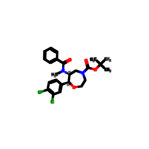 CN(C(=O)c1ccccc1)[C@@H]1CN(C(=O)OC(C)(C)C)CCO[C@H]1c1ccc(Cl)c(Cl)c1